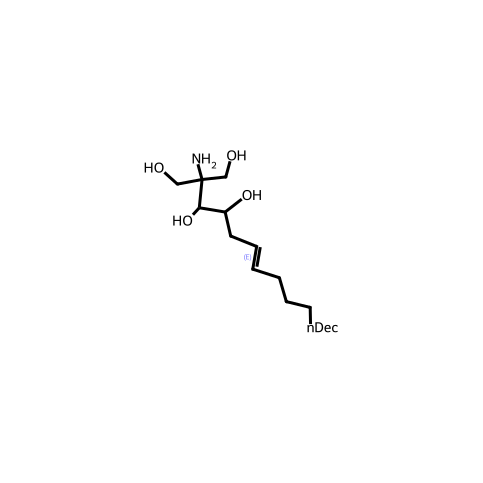 CCCCCCCCCCCCC/C=C/CC(O)C(O)C(N)(CO)CO